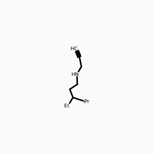 C#CCNCCC(CC)C(C)C